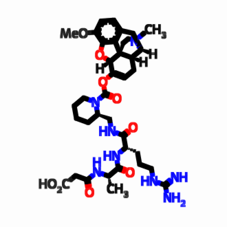 COc1ccc2c3c1O[C@H]1C(OC(=O)N4CCCC[C@@H]4CNC(=O)[C@H](CCCNC(=N)N)NC(=O)[C@H](C)NC(=O)CC(=O)O)=CC[C@H]4[C@@H](C2)N(C)CC[C@]314